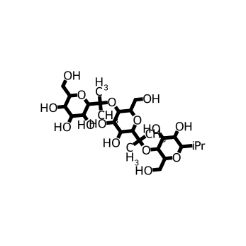 CC(C)C1OC(CO)C(OC(C)(C)C2OC(CO)C(OC(C)(C)C3OC(CO)C(O)C(O)C3O)C(O)C2O)C(O)C1O